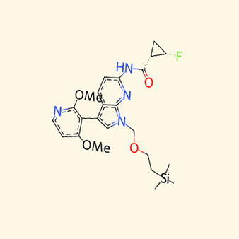 COc1ccnc(OC)c1-c1cn(COCC[Si](C)(C)C)c2nc(NC(=O)[C@@H]3C[C@@H]3F)ccc12